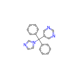 c1ccc(C(c2ccccc2)(c2cncnc2)n2ccnc2)cc1